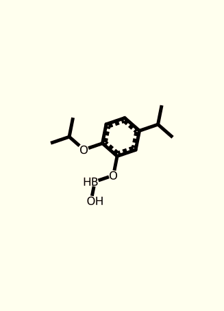 CC(C)Oc1ccc(C(C)C)cc1OBO